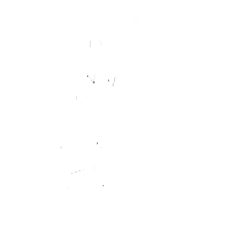 Cc1c(Cl)cccc1-n1cc(-c2ccc3ccccc3n2)cn1